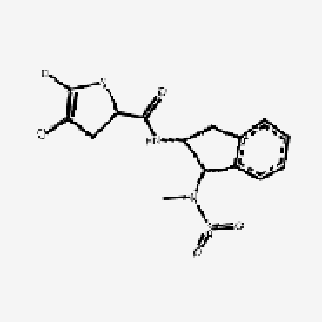 CN(C1c2ccccc2CC1NC(=O)C1CC(Cl)=C(Cl)S1)[SH](=O)=O